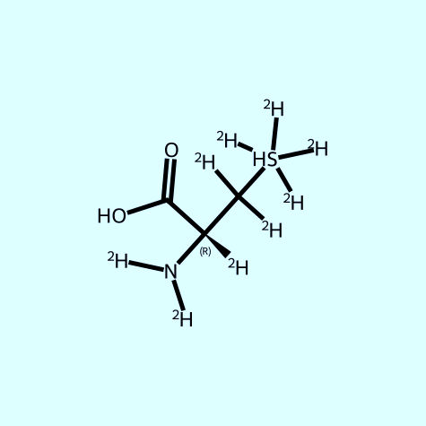 [2H]N([2H])[C@]([2H])(C(=O)O)C([2H])([2H])[SH]([2H])([2H])([2H])[2H]